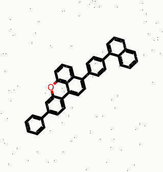 c1ccc(-c2ccc3c(c2)Oc2cccc4c(-c5ccc(-c6cccc7ccccc67)cc5)ccc-3c24)cc1